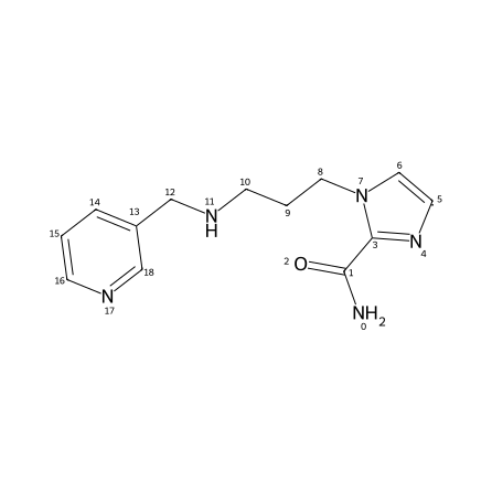 NC(=O)c1n[c]cn1CCCNCc1cccnc1